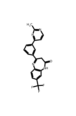 Cc1nccc(-c2cccc(C3=Nc4ccc(C(F)(F)F)cc4NC(=O)C3)c2)n1